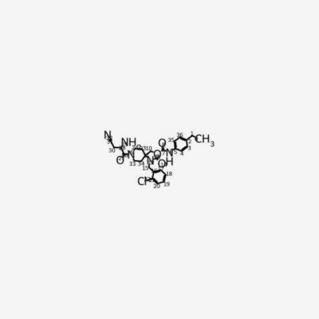 CCc1ccc(NC(=O)OCC2(N(C=O)Cc3ccccc3Cl)CCN(C(=O)C(N)CC#N)CC2)cc1